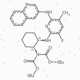 Cc1cc(F)c(N[C@@H]2CCCC[C@@H]2N(C(=O)OC(C)(C)C)C(=O)OC(C)(C)C)nc1Nc1cnc2ccccc2c1